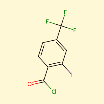 O=C(Cl)c1ccc(C(F)(F)F)cc1I